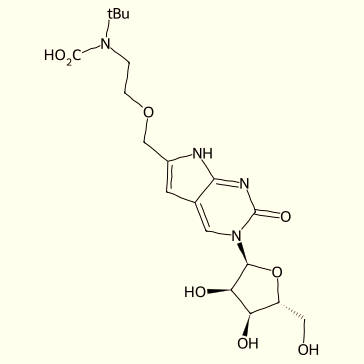 CC(C)(C)N(CCOCc1cc2cn([C@H]3O[C@H](CO)[C@@H](O)[C@H]3O)c(=O)nc2[nH]1)C(=O)O